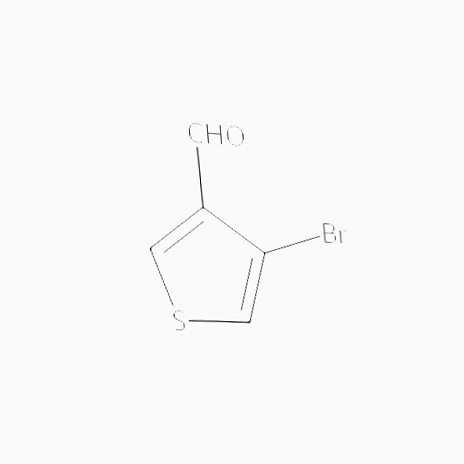 O=Cc1cscc1Br